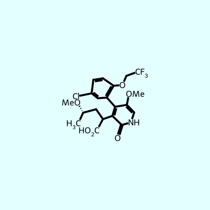 COc1c[nH]c(=O)c(C(C[C@H](C)OC)C(=O)O)c1-c1cc(Cl)ccc1OCC(F)(F)F